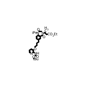 CCOC(=O)CC(C)N1CC(=O)N(C(C)C)c2ccc(CCCCOc3cccnc3NC(=O)OC(C)(C)C)cc2C1=O